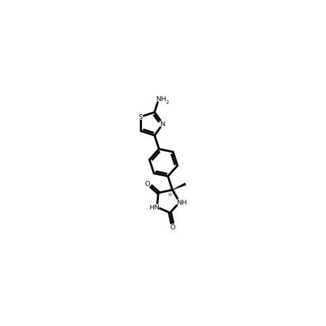 C[C@@]1(c2ccc(-c3csc(N)n3)cc2)NC(=O)NC1=O